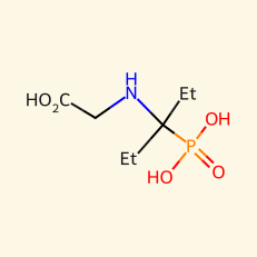 CCC(CC)(NCC(=O)O)P(=O)(O)O